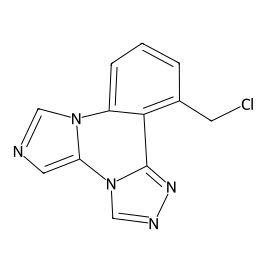 ClCc1cccc2c1c1nncn1c1cncn21